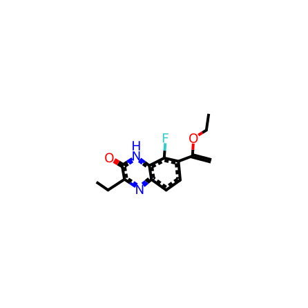 C=C(OCC)c1ccc2nc(CC)c(=O)[nH]c2c1F